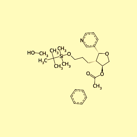 CC(=O)O[C@@H]1CO[C@@H](c2cccnc2)[C@H]1CCCO[Si](C)(C)C(C)(C)C.CO.c1ccccc1